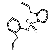 C=CCc1ccccc1OS(=O)(=O)c1ccccc1CC=C